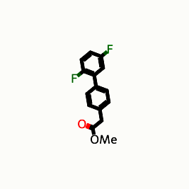 COC(=O)Cc1ccc(-c2cc(F)ccc2F)cc1